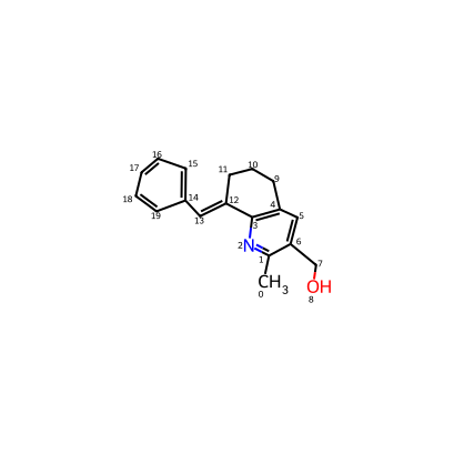 Cc1nc2c(cc1CO)CCCC2=Cc1ccccc1